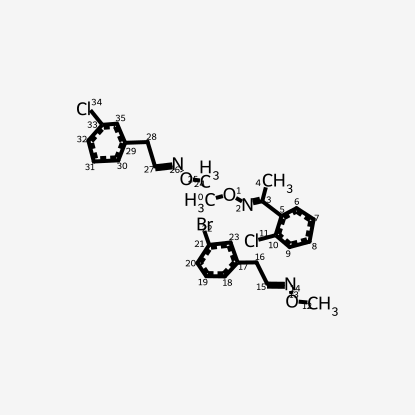 CON=C(C)c1ccccc1Cl.CON=CCc1cccc(Br)c1.CON=CCc1cccc(Cl)c1